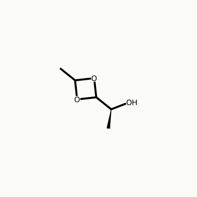 CC1OC([C@H](C)O)O1